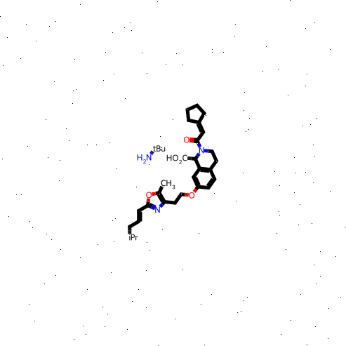 CC(C)(C)N.Cc1oc(/C=C/CC(C)C)nc1CCOc1ccc2c(c1)C(C(=O)O)N(C(=O)C=C1CCCC1)CC2